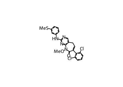 CON1C(=O)C(c2c(Cl)cccc2Cl)=CCc2cnc(Nc3cccc(SC)c3)nc21